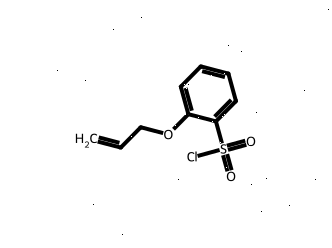 C=CCOc1ccccc1S(=O)(=O)Cl